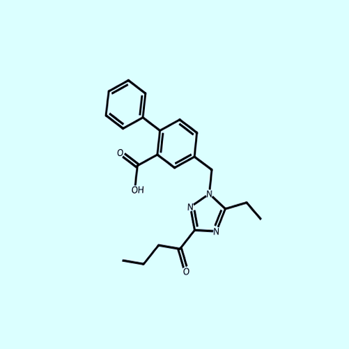 CCCC(=O)c1nc(CC)n(Cc2ccc(-c3ccccc3)c(C(=O)O)c2)n1